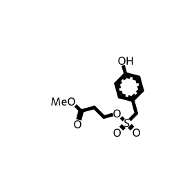 COC(=O)CCOS(=O)(=O)Cc1ccc(O)cc1